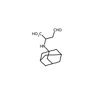 O=CCC(NC12CC3CC(CC(C3)C1)C2)C(=O)O